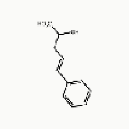 O=C(O)C(O)CC=Cc1ccccc1